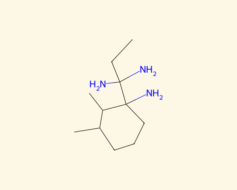 CCC(N)(N)C1(N)CCCC(C)C1C